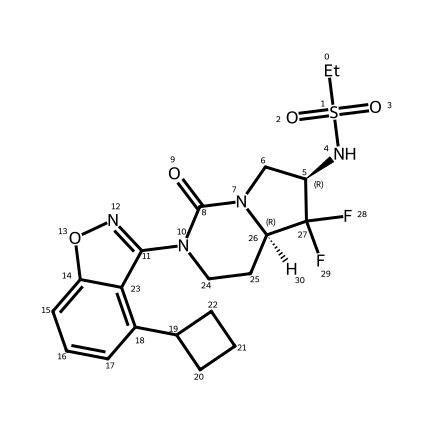 CCS(=O)(=O)N[C@@H]1CN2C(=O)N(c3noc4cccc(C5CCC5)c34)CC[C@@H]2C1(F)F